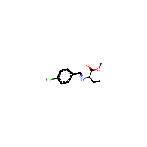 CCC(/N=C/c1ccc(Cl)cc1)C(=O)OC